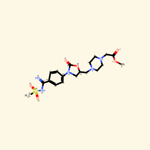 CC(C)OC(=O)CN1CCN(CC2CN(c3ccc(C(=N)NS(C)(=O)=O)cc3)C(=O)O2)CC1